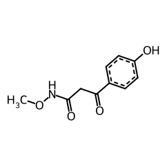 CONC(=O)CC(=O)c1ccc(O)cc1